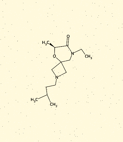 CCN1CC2(CN(CCC(C)C)C2)O[C@@H](C)C1=O